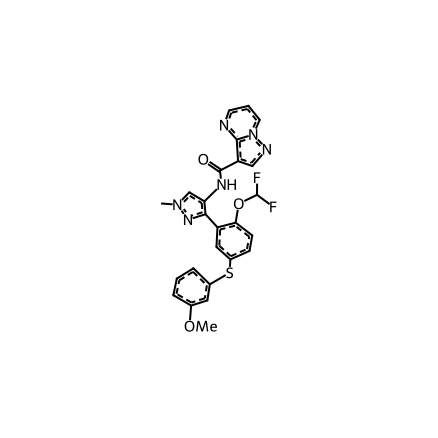 COc1cccc(Sc2ccc(OC(F)F)c(-c3nn(C)cc3NC(=O)c3cnn4cccnc34)c2)c1